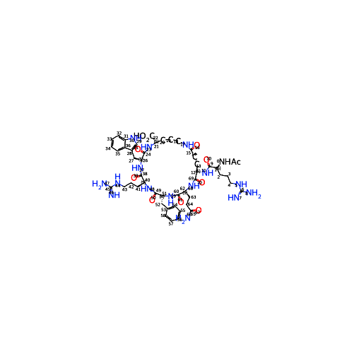 CC(=O)N[C@@H](CCCNC(=N)N)C(=O)N[C@H]1CCC(=O)NCCC[C@@H](C(=O)O)NC(=O)[C@H](Cc2c[nH]c3ccccc23)NC(=O)[C@H](CCCNC(=N)N)NC(=O)[C@@H](Cc2ccccc2)NC(=O)[C@H](CCC(N)=O)NC1=O